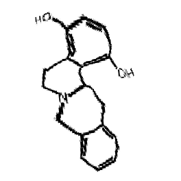 Oc1ccc(O)c2c1CCN1Cc3ccccc3CC21